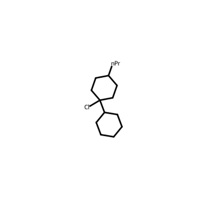 CCCC1CCC(Cl)(C2CCCCC2)CC1